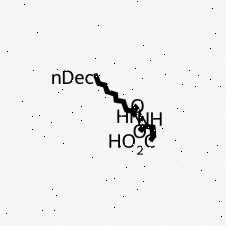 CCCCCCCCCCCCCCCCCCC(=O)NNC(=O)/C=C\C(=O)O